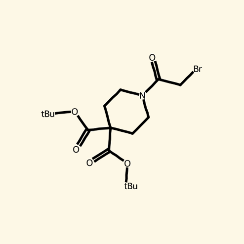 CC(C)(C)OC(=O)C1(C(=O)OC(C)(C)C)CCN(C(=O)CBr)CC1